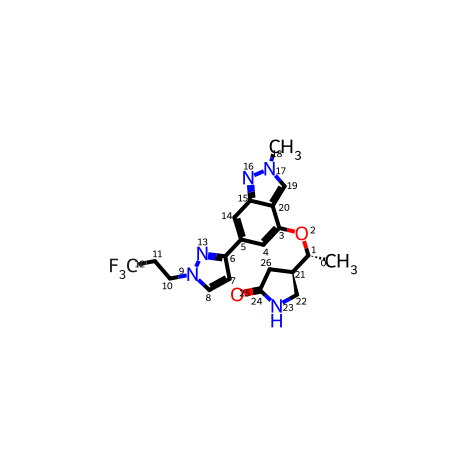 C[C@@H](Oc1cc(-c2ccn(CCC(F)(F)F)n2)cc2nn(C)cc12)[C@H]1CNC(=O)C1